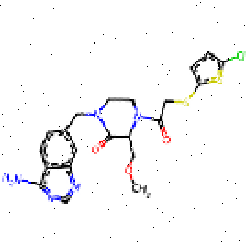 COCC1C(=O)N(Cc2ccc3c(N)ncnc3c2)CCN1C(=O)CSc1ccc(Cl)s1